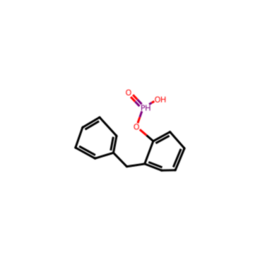 O=[PH](O)Oc1ccccc1Cc1ccccc1